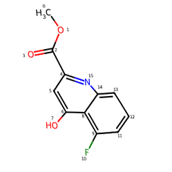 COC(=O)c1cc(O)c2c(F)cccc2n1